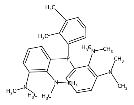 Cc1cccc(P(c2cccc(N(C)C)c2N(C)C)c2cccc(N(C)C)c2N(C)C)c1C